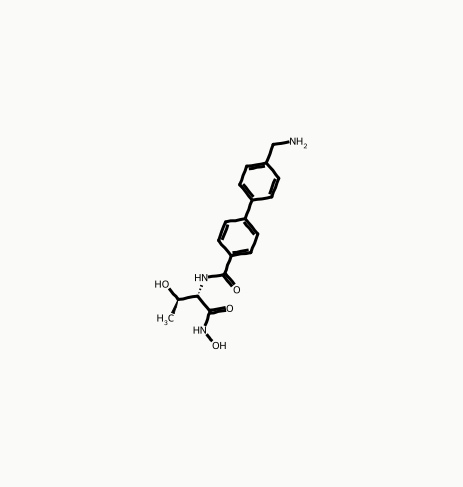 C[C@@H](O)[C@H](NC(=O)c1ccc(-c2ccc(CN)cc2)cc1)C(=O)NO